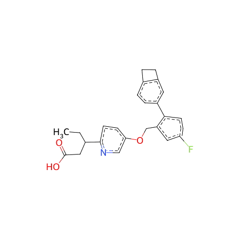 CCC(CC(=O)O)c1ccc(OCc2cc(F)ccc2-c2ccc3c(c2)CC3)cn1